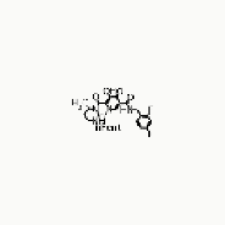 CCCCCN1CC[C@@H](C)N2C(=O)c3c(O)c(=O)c(C(=O)NCc4ccc(F)cc4F)cn3C[C@H]12